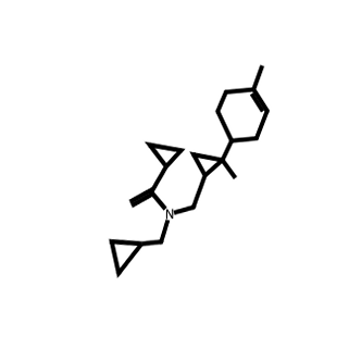 C=C(C1CC1)N(CC1CC1)CC1CC1(C)C1CC=C(C)CC1